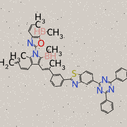 C=C/C=C\c1c(/C=C(\C)c2cccc(-c3nc4cc(-c5nc(-c6ccccc6)nc(-c6ccccc6)n5)ccc4s3)c2)c(BC)n(-c2nc(/C=C\C)c(BC)o2)c1C